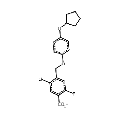 O=C(O)c1cc(Cl)c(COc2ccc(OC3CCCC3)cn2)cc1F